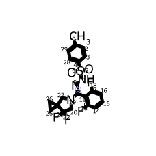 Cc1ccc(S(=O)(=O)N/N=C(\c2c(F)cccc2F)N2CC(F)(F)C3(CC3)C2)cc1